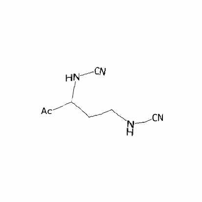 CC(=O)C(CCNC#N)NC#N